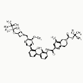 COc1nc(-c2cccc(-c3cccc(NC(=O)c4cc(C)c5c(n4)CCN(C(=O)OC(C)(C)C)C5)c3Cl)c2Cl)cnc1CN1CC(O[Si](C)(C)C(C)(C)C)C1